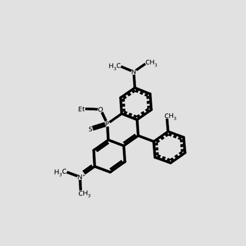 CCOP1(=S)C2=CC(=[N+](C)C)C=CC2=C(c2ccccc2C)c2ccc(N(C)C)cc21